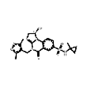 Cc1noc(C)c1CN1C(=O)c2cc(S(=O)(=O)NC3(C)CC3)ccc2N2C1=NC[C@H]2C(C)C